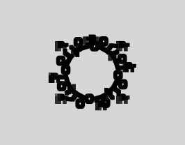 CCCCC1OC(=O)C(CC(C)C)N(C)C(=O)C(C(C)C)OC(=O)C(CC(C)C)N(C)C(=O)C(C(C)C)OC(=O)C(CC(C)C)N(C)C(=O)C(C(C)C)OC(=O)C(CC(C)C)N(C)C1=O